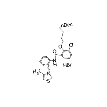 Br.CCCCCCCCCCCCCCOc1c(Cl)cccc1C(=O)Nc1ccccc1CN1CSC=C1C